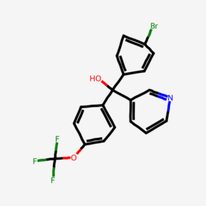 OC(c1ccc(Br)cc1)(c1ccc(OC(F)(F)F)cc1)c1cccnc1